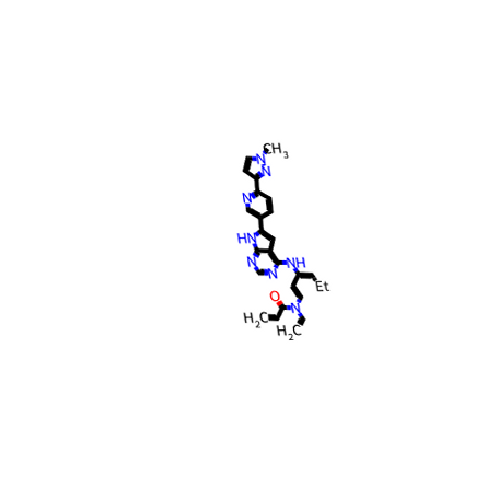 C=CC(=O)N(C=C)/C=C/C(=C\CC)Nc1ncnc2[nH]c(-c3ccc(-c4ccn(C)n4)nc3)cc12